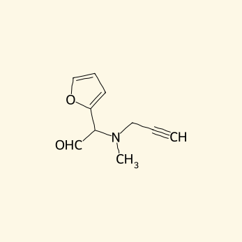 C#CCN(C)C(C=O)c1ccco1